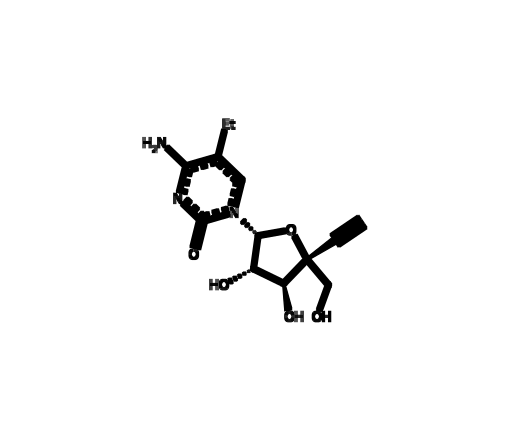 C#C[C@]1(CO)O[C@@H](n2cc(CC)c(N)nc2=O)[C@@H](O)[C@@H]1O